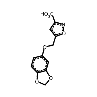 O=C(O)c1cc(COc2ccc3c(c2)OCO3)on1